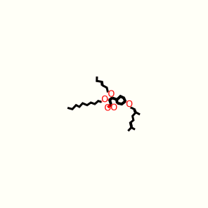 CCC=CCCOc1c(OCCCCCCCCCC)c(=O)oc2cc(OCC=C(C)CCC=C(C)C)ccc12